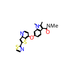 CNC(=O)c1c(C)n(C)c2cc(Oc3ccnc4cc(-c5nccs5)sc34)ccc12